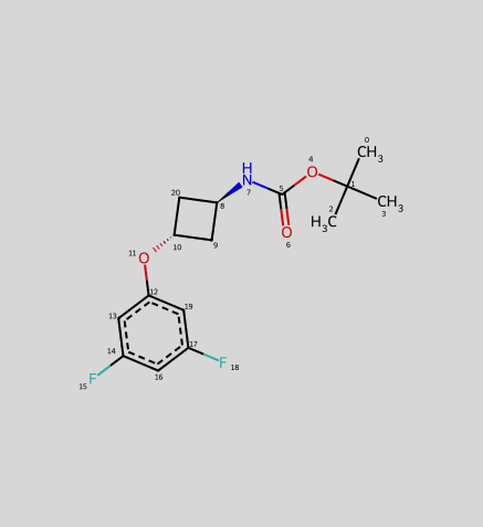 CC(C)(C)OC(=O)N[C@H]1C[C@H](Oc2cc(F)cc(F)c2)C1